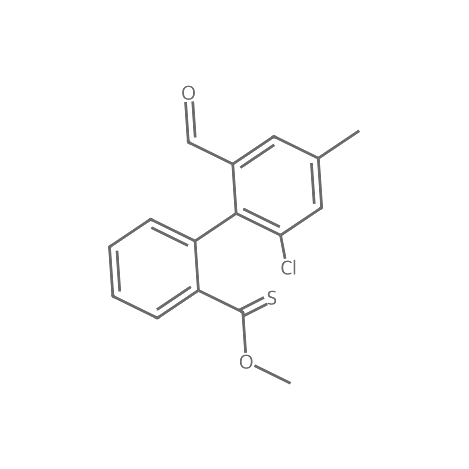 COC(=S)c1ccccc1-c1c(Cl)cc(C)cc1C=O